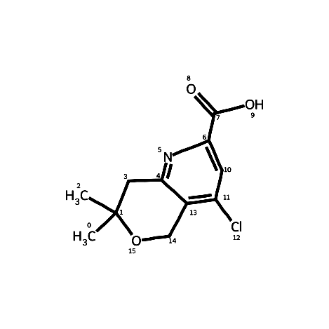 CC1(C)Cc2nc(C(=O)O)cc(Cl)c2CO1